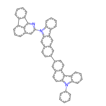 c1ccc(-n2c3ccccc3c3c4ccc(-c5ccc6cc7c(cc6c5)c5ccccc5n7-c5cc6cccc7c6c(n5)-c5ccccc5-7)cc4ccc32)cc1